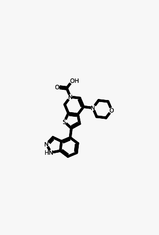 O=C(O)N1C=C(N2CCOCC2)c2cc(-c3cccc4[nH]ncc34)sc2C1